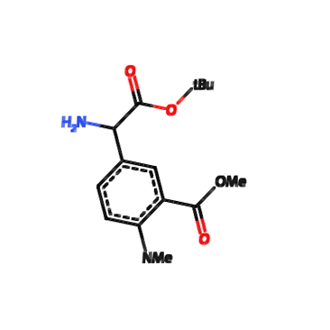 CNc1ccc(C(N)C(=O)OC(C)(C)C)cc1C(=O)OC